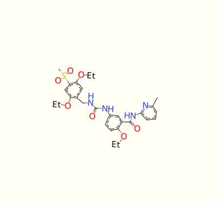 CCOc1cc(S(C)(=O)=O)c(OCC)cc1CNC(=O)Nc1ccc(OCC)c(C(=O)Nc2cccc(C)n2)c1